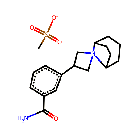 CS(=O)(=O)[O-].NC(=O)c1cccc(C2C[N+]3(C2)C2CCCC3CC2)c1